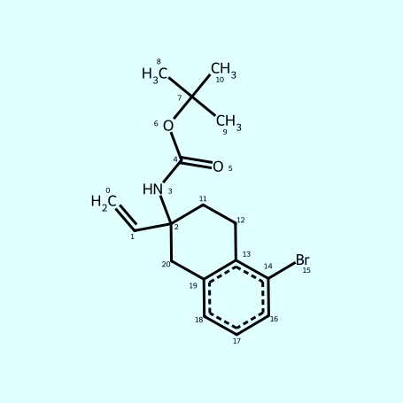 C=CC1(NC(=O)OC(C)(C)C)CCc2c(Br)cccc2C1